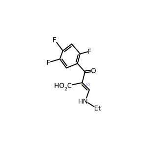 CCN/C=C(\C(=O)O)C(=O)c1cc(F)c(F)cc1F